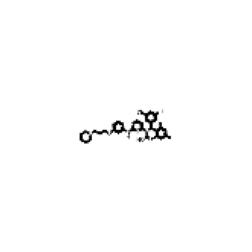 Cc1cc(C)c(C(c2cc(Cl)cc(Cl)c2)N(C(=O)O)c2ccnc(Nc3cccc(OCCCN4CCCCC4)c3)n2)c(C)c1